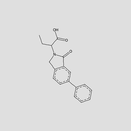 CCC(C(=O)O)N1Cc2ccc(-c3ccccc3)cc2C1=O